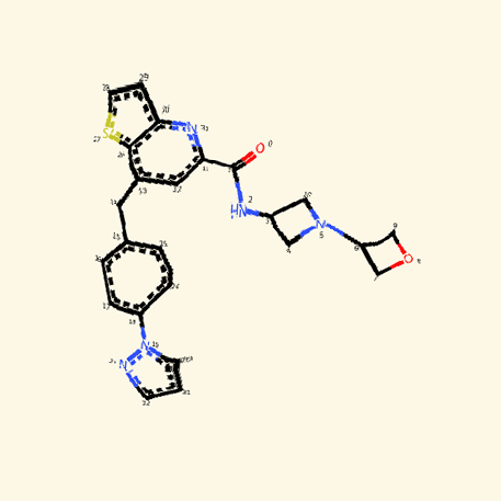 O=C(NC1CN(C2COC2)C1)c1cc(Cc2ccc(-n3cccn3)cc2)c2sccc2n1